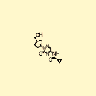 O=C(Nc1cnn([C@H]2CC[C@@H](CO)O2)c(=O)n1)C1CC1